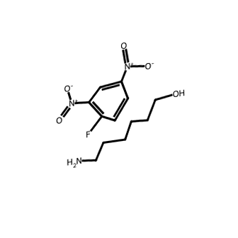 NCCCCCCO.O=[N+]([O-])c1ccc(F)c([N+](=O)[O-])c1